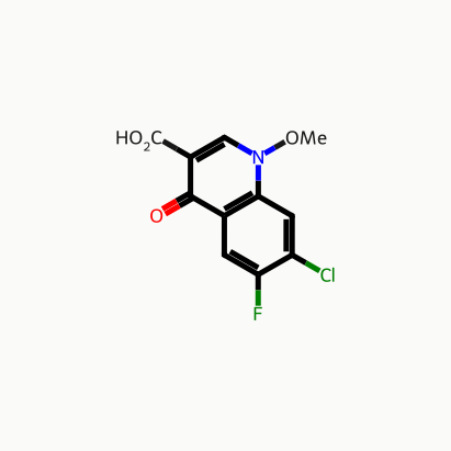 COn1cc(C(=O)O)c(=O)c2cc(F)c(Cl)cc21